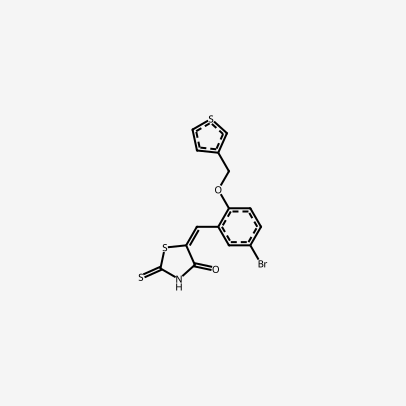 O=C1NC(=S)SC1=Cc1cc(Br)ccc1OCc1ccsc1